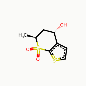 C[C@H]1C[C@H](O)c2ccsc2S1(=O)=O